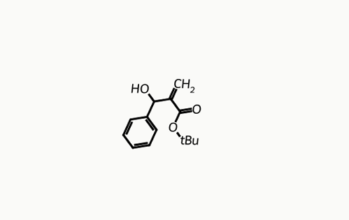 C=C(C(=O)OC(C)(C)C)C(O)c1ccccc1